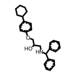 OC(CNC(c1ccccc1)c1ccccc1)COc1ccc(C2CCCCC2)cc1